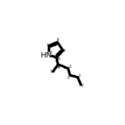 CCCCC(C)c1ccc[nH]1